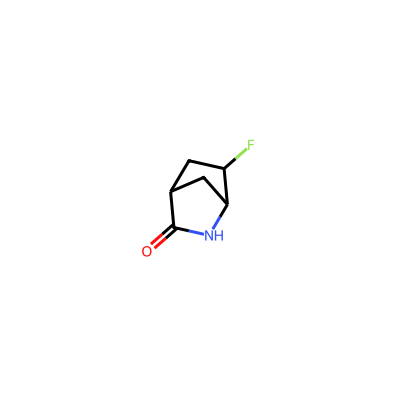 O=C1NC2CC1CC2F